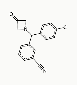 N#Cc1cccc(C(c2ccc(Cl)cc2)N2CC(=O)C2)c1